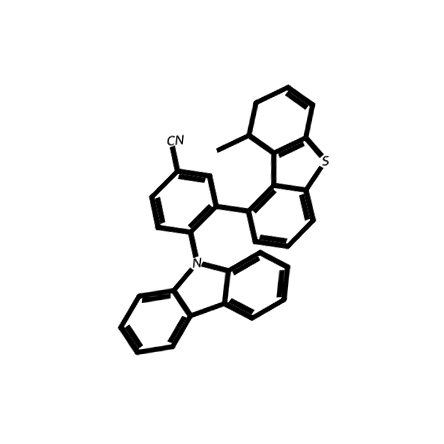 CC1CC=Cc2sc3cccc(-c4cc(C#N)ccc4-n4c5ccccc5c5ccccc54)c3c21